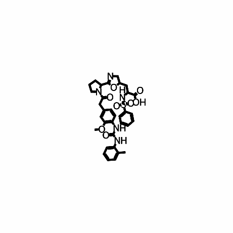 COc1cc(CC(=O)N2CCCC2C2=NCC(CC(NS(=O)(=O)c3ccccc3)C(=O)O)O2)ccc1NC(=O)Nc1ccccc1C